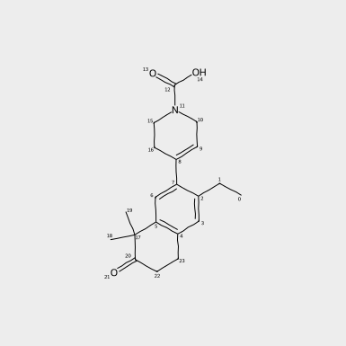 CCc1cc2c(cc1C1=CCN(C(=O)O)CC1)C(C)(C)C(=O)CC2